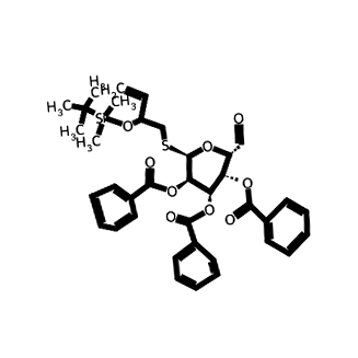 C=CC(CS[C@H]1O[C@H](C=O)[C@H](OC(=O)c2ccccc2)[C@H](OC(=O)c2ccccc2)[C@H]1OC(=O)c1ccccc1)O[Si](C)(C)C(C)(C)C